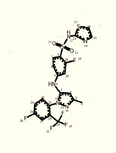 Cc1cc(Nc2ccc(S(=O)(=O)Nc3nccs3)c(F)c2)n(-c2ccc(F)cc2C(F)(F)F)n1